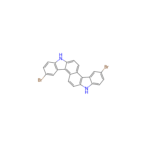 Brc1ccc2[nH]c3ccc4c(ccc5[nH]c6ccc(Br)cc6c54)c3c2c1